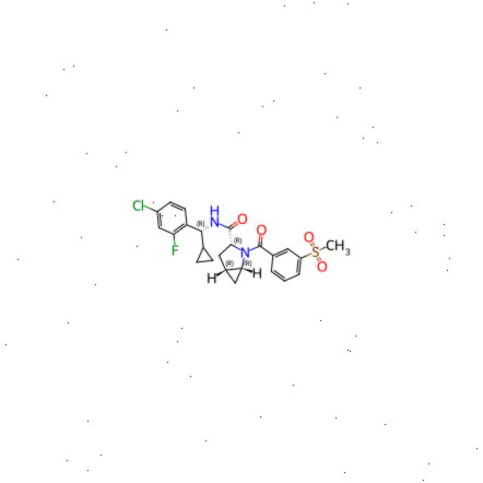 CS(=O)(=O)c1cccc(C(=O)N2[C@@H](C(=O)N[C@@H](c3ccc(Cl)cc3F)C3CC3)C[C@H]3C[C@H]32)c1